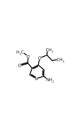 CCC(C)Oc1cc(N)ncc1C(=O)OC